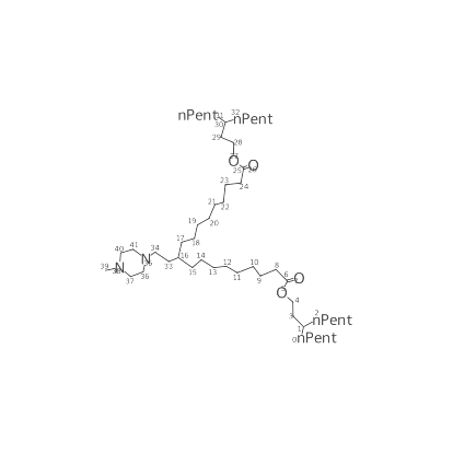 CCCCCC(CCCCC)CCOC(=O)CCCCCCCCC(CCCCCCCCC(=O)OCCC(CCCCC)CCCCC)CCN1CCN(C)CC1